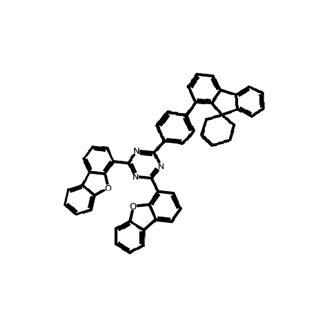 c1ccc2c(c1)-c1cccc(-c3ccc(-c4nc(-c5cccc6c5oc5ccccc56)nc(-c5cccc6c5oc5ccccc56)n4)cc3)c1C21CCCCC1